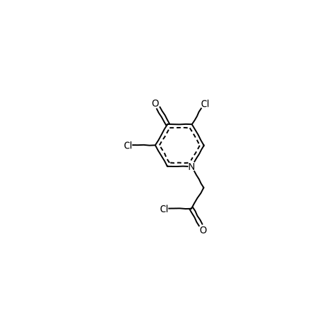 O=C(Cl)Cn1cc(Cl)c(=O)c(Cl)c1